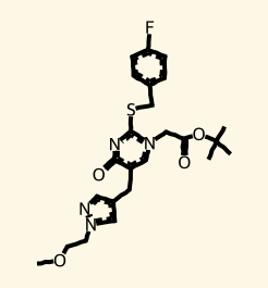 COCCn1cc(Cc2cn(CC(=O)OC(C)(C)C)c(SCc3ccc(F)cc3)nc2=O)cn1